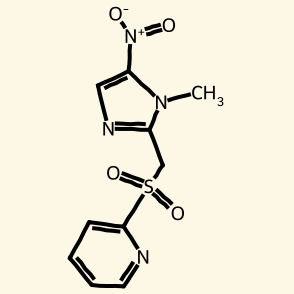 Cn1c([N+](=O)[O-])cnc1CS(=O)(=O)c1ccccn1